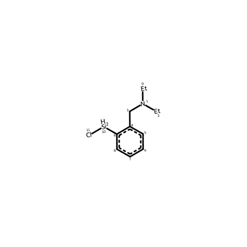 CCN(CC)Cc1ccccc1[SiH2]Cl